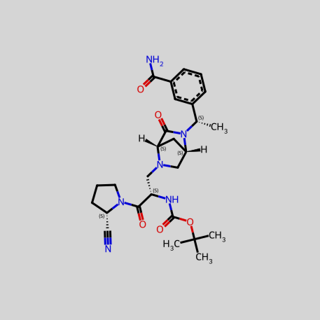 C[C@@H](c1cccc(C(N)=O)c1)N1C(=O)[C@@H]2C[C@H]1CN2C[C@H](NC(=O)OC(C)(C)C)C(=O)N1CCC[C@H]1C#N